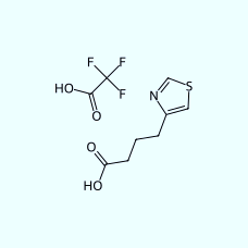 O=C(O)C(F)(F)F.O=C(O)CCCc1cscn1